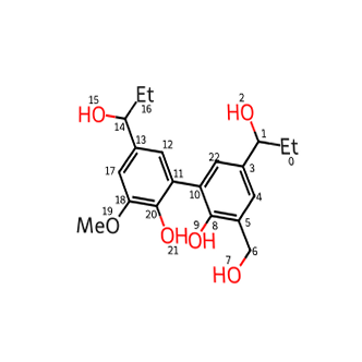 CCC(O)c1cc(CO)c(O)c(-c2cc(C(O)CC)cc(OC)c2O)c1